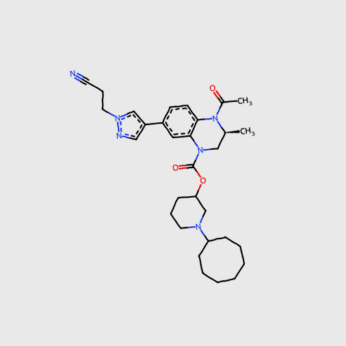 CC(=O)N1c2ccc(-c3cnn(CCC#N)c3)cc2N(C(=O)OC2CCCN(C3CCCCCCC3)C2)C[C@@H]1C